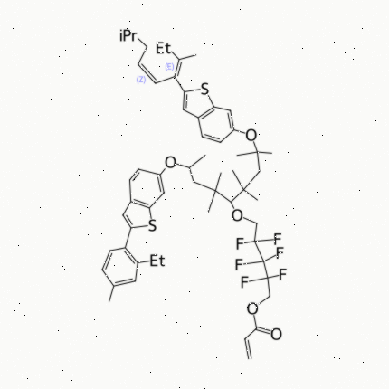 C=CC(=O)OCC(F)(F)C(F)(F)C(F)(F)COC(C(C)(C)CC(C)Oc1ccc2cc(-c3ccc(C)cc3CC)sc2c1)C(C)(C)CC(C)(C)Oc1ccc2cc(C(/C=C\CC(C)C)=C(\C)CC)sc2c1